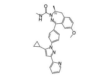 CNC(=O)N1N=C(c2ccc(-n3nc(-c4ccccn4)cc3C3CC3)cc2)c2cc(OC)ccc2C[C@@H]1C